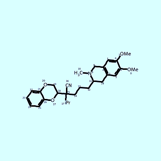 COc1cc2c(cc1OC)CN(C)C(CCCC(C#N)(C(C)C)C1COc3ccccc3O1)C2